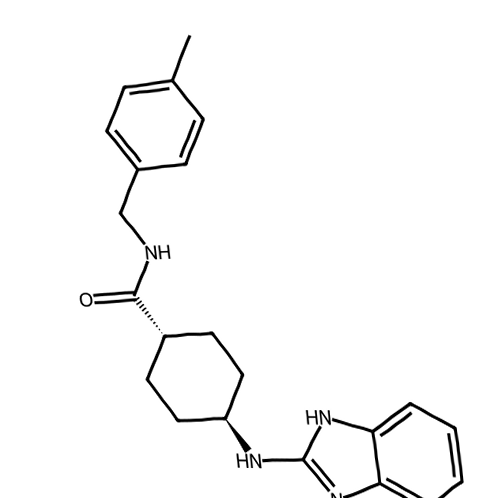 Cc1ccc(CNC(=O)[C@H]2CC[C@H](Nc3nc4ccccc4[nH]3)CC2)cc1